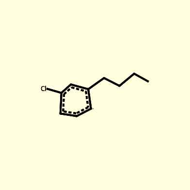 CCCCc1[c]ccc(Cl)c1